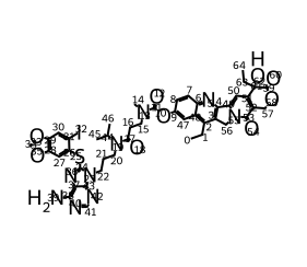 CCc1c2c(nc3ccc(OC(=O)N(C)CCC(=O)N(CCCn4c(Sc5cc6c(cc5I)OCO6)nc5c(N)ncnc54)C(C)C)cc13)-c1cc3c(c(=O)n1C2)COC(=O)[C@]3(O)CC